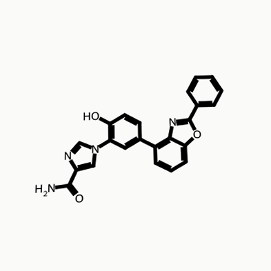 NC(=O)c1cn(-c2cc(-c3cccc4oc(-c5ccccc5)nc34)ccc2O)cn1